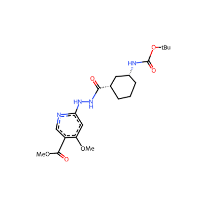 COC(=O)c1cnc(NNC(=O)[C@H]2CCC[C@@H](NC(=O)OC(C)(C)C)C2)cc1OC